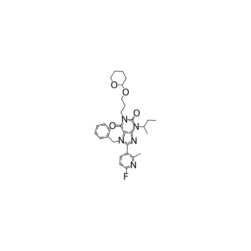 CCC(C)n1c(=O)n(CCCOC2CCCCO2)c(=O)c2c1nc(-c1ccc(F)nc1C)n2Cc1ccccc1